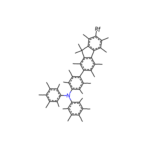 Cc1c(C)c(C)c(N(c2c(C)c(C)c(C)c(C)c2C)c2c(C)c(C)c(-c3c(C)c(C)c4c(c3C)C(C)(C)c3c(C)[c]([Rf])c(C)c(C)c3-4)c(C)c2C)c(C)c1C